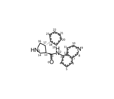 O=C(Nc1cccc2cnccc12)[C@H]1CNC[C@@H]1c1ccccc1